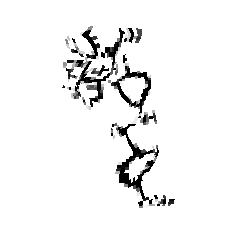 COc1ccc(C(=O)NC2=CC=C(F)C([C@]34CO[C@H](C)[C@H]3S(=O)(=O)N(C)C(=N)N4)C2)nc1